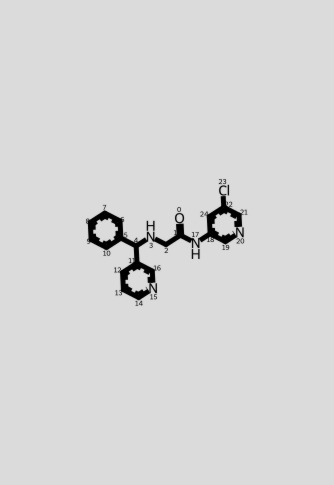 O=C(CNC(c1ccccc1)c1cccnc1)Nc1cncc(Cl)c1